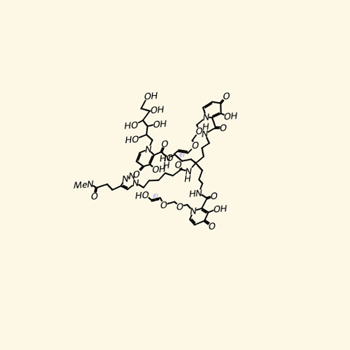 CNC(=O)CCc1cn(CCCCCC(=O)NC(CCCNC(=O)c2c(O)c(=O)ccn2COCO/C=C/O)(CCCNC(=O)c2c(O)c(=O)ccn2COCO/C=C/O)CCCNC(=O)c2c(O)c(=O)ccn2CC(O)C(O)C(O)C(O)CO)nn1